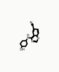 N#Cc1ccc2ncnc(NC3CCC(O)CC3)c2c1